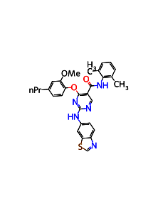 CCCc1ccc(Oc2nc(Nc3ccc4ncsc4c3)ncc2C(=O)Nc2c(C)cccc2C)c(OC)c1